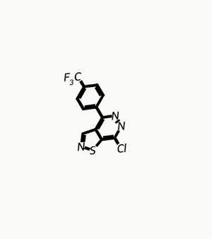 FC(F)(F)c1ccc(-c2nnc(Cl)c3sncc23)cc1